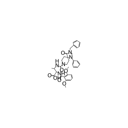 COc1cccc(OC)c1C(=O)NC(C(=O)O)C(C)NC(=O)N1CCC2(CC1)C(=O)N(Cc1ccccc1)CN2c1ccccc1